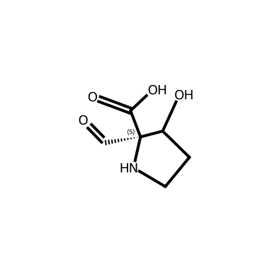 O=C[C@@]1(C(=O)O)NCCC1O